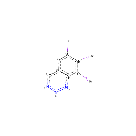 Ic1cc2cnnnc2c(I)c1I